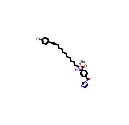 CC(C)(C)OC(=O)C1(NCCCCCCCCCCCC#Cc2ccc(Cl)cc2)C=CC(C(=O)n2ccnc2)=CC1